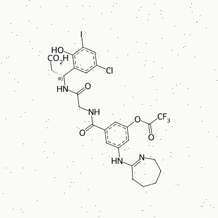 O=C(O)C[C@@H](NC(=O)CNC(=O)c1cc(NC2=NCCCCC2)cc(OC(=O)C(F)(F)F)c1)c1cc(Cl)cc(I)c1O